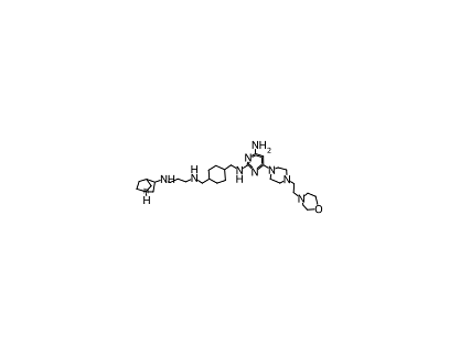 Nc1cc(N2CCN(CCN3CCOCC3)CC2)nc(NCC2CCC(CNCCCNC3C[C@@H]4CCC3C4)CC2)n1